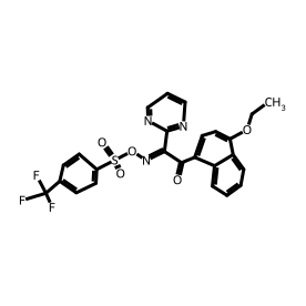 CCOc1ccc(C(=O)/C(=N/OS(=O)(=O)c2ccc(C(F)(F)F)cc2)c2ncccn2)c2ccccc12